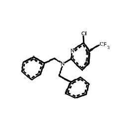 FC(F)(F)c1ccc(N(Cc2ccccc2)Cc2ccccc2)nc1Cl